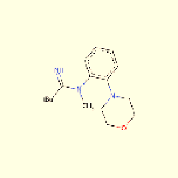 CN(C(=N)C(C)(C)C)c1ccccc1N1CCOCC1